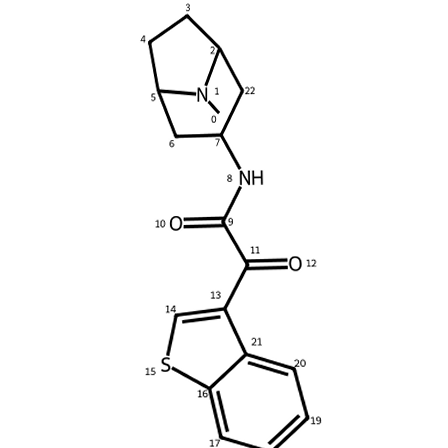 CN1C2CCC1CC(NC(=O)C(=O)c1csc3ccccc13)C2